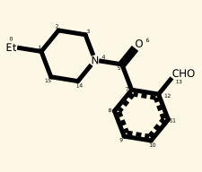 CCC1CCN(C(=O)c2ccccc2C=O)CC1